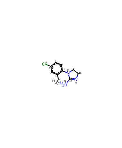 Cc1cc(Cl)ccc1N1CCN=C1N